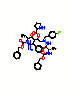 CC(C)[C@H](NC(=O)OCc1ccccc1)C(=O)NN(Cc1ccc(F)cc1)CC(OC(=O)C1CCCN1)[C@@H](C(=O)[C@@H](NC(=O)OCc1ccccc1)C(C)C)C(N)c1ccccc1